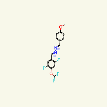 COc1ccc(/C=N/N=C/c2cc(F)c(OC(F)F)cc2F)cc1